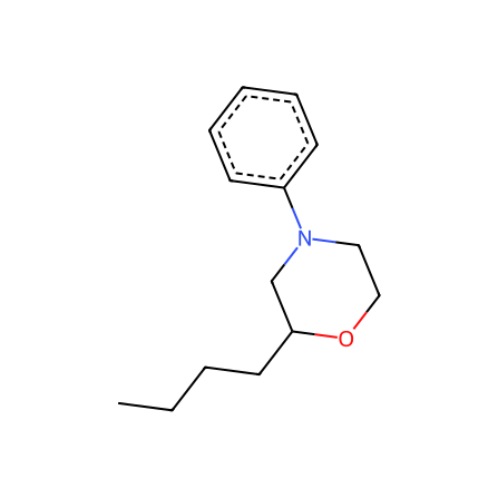 CCCCC1CN(c2ccccc2)CCO1